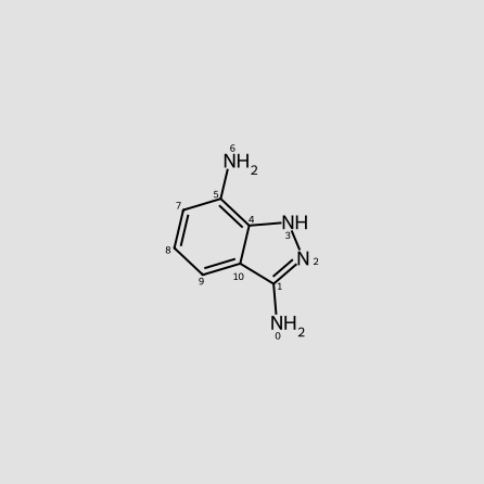 Nc1n[nH]c2c(N)cccc12